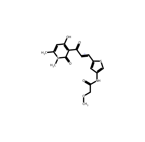 COCC(=O)Nc1csc(/C=C/C(=O)c2c(O)cc(C)n(C)c2=O)c1